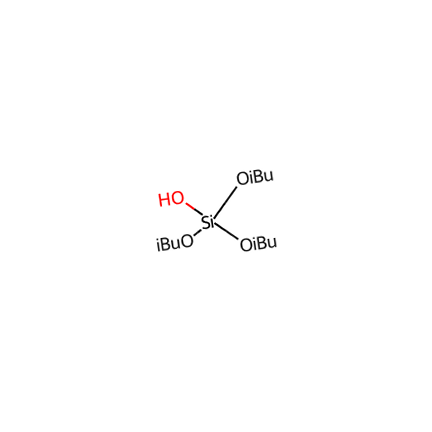 CC(C)CO[Si](O)(OCC(C)C)OCC(C)C